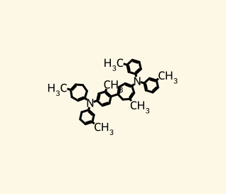 CC1=CCCC(N(C2=CCC(C)=CCC2)c2ccc(C3=CC=C(N(c4cccc(C)c4)c4cccc(C)c4)C=C(C)C3)c(C)c2)=C1